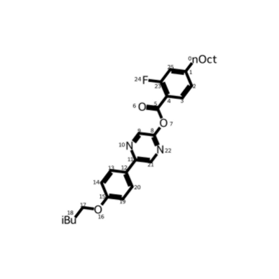 CCCCCCCCc1ccc(C(=O)Oc2cnc(-c3ccc(OCC(C)CC)cc3)cn2)c(F)c1